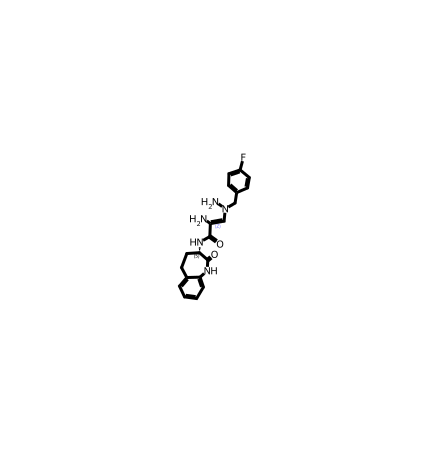 N/C(=C\N(N)Cc1ccc(F)cc1)C(=O)N[C@H]1CCc2ccccc2NC1=O